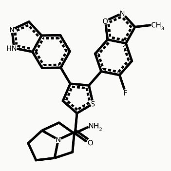 Cc1noc2cc(-c3sc(C(=O)N4C5CCC4CC(N)C5)cc3-c3ccc4cn[nH]c4c3)c(F)cc12